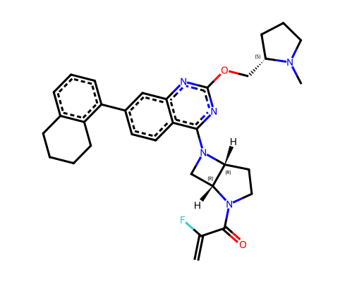 C=C(F)C(=O)N1CC[C@@H]2[C@H]1CN2c1nc(OC[C@@H]2CCCN2C)nc2cc(-c3cccc4c3CCCC4)ccc12